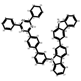 C1=CC(c2nc(-c3ccccc3)nc(-c3ccc(-c4cccc(-n5c6ccccc6c6ccc(-c7ccc8oc9ccccc9c8c7)cc65)c4)cc3)n2)=CCC1